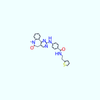 CN1C(=O)Cc2cnc(Nc3ccc(C(=O)NCCc4cccs4)cc3)nc2-c2ccccc21